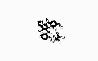 CCOc1ccc(Nc2c(C)c(N[C@H]3CCCC[C@@H]3N)c(C#N)c3ccnn23)cc1.O=C(O)C(F)(F)F